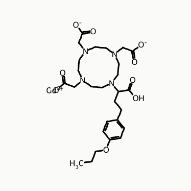 CCCOc1ccc(CCC(C(=O)O)N2CCN(CC(=O)[O-])CCN(CC(=O)[O-])CCN(CC(=O)[O-])CC2)cc1.[Gd+3]